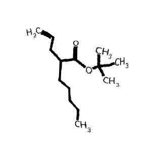 C=CCC(CCCCC)C(=O)OC(C)(C)C